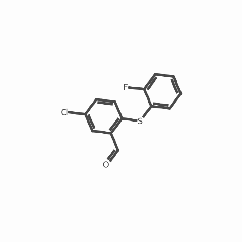 O=Cc1cc(Cl)ccc1Sc1ccccc1F